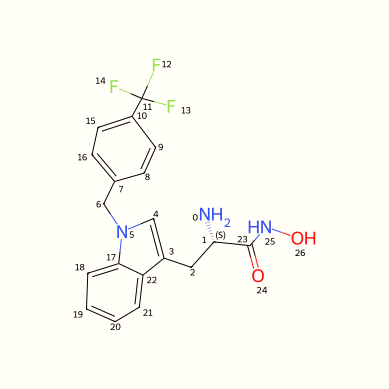 N[C@@H](Cc1cn(Cc2ccc(C(F)(F)F)cc2)c2ccccc12)C(=O)NO